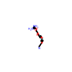 N#CCCCCCOc1ccc(C(F)(F)Oc2ccc(C=CC(=O)OCCCCOC(=O)c3cc(N)cc(N)c3)cc2)cc1